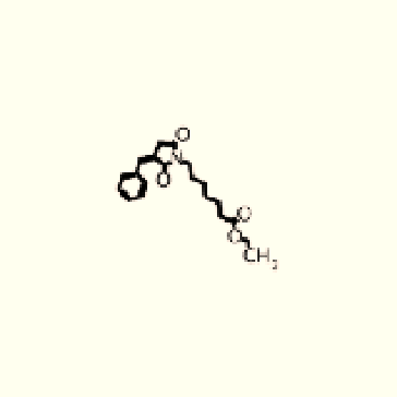 CCOC(=O)CCCCCCN1C(=O)CC(=Cc2ccccc2)C1=O